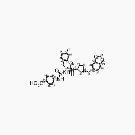 Cc1ccc(C[C@H](NC(=O)Nc2ccc(C(=O)O)cc2)C(=O)N[C@H]2CCN(Cc3ccc4c(c3)OCO4)C2)cc1